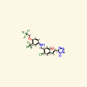 FC(F)(F)COc1ccc(NCc2cc3oc(-c4nnn[nH]4)cc3cc2Cl)cc1C(F)(F)F